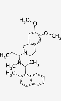 CCC(N1CCc2cc(OC)c(OC)cc2C1)N(C)C(C)c1c(C)ccc2ccccc12